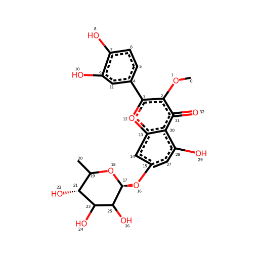 COc1c(-c2ccc(O)c(O)c2)oc2cc(O[C@@H]3OC(C)[C@@H](O)C(O)C3O)cc(O)c2c1=O